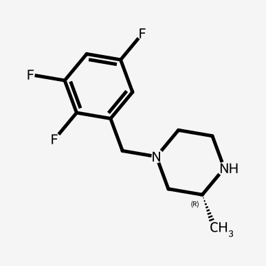 C[C@@H]1CN(Cc2cc(F)cc(F)c2F)CCN1